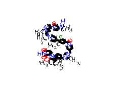 CNc1ccn(-c2ccnc3c2cc([C@H](C)N2CC=C(c4c(C)cc(C(=O)N5CCC(CN6CCN(Cc7ccc8c(c7)C(C)(C)C(=O)N8[C@H]7CCC(=O)NC7=O)C[C@@H]6C)CC5)cc4F)CC2)n3C)c(=O)c1